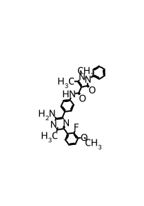 COc1cccc(-c2nc(-c3ccc(NC(=O)c4c(C)n(C)n(-c5ccccc5)c4=O)cc3)c(N)nc2C)c1F